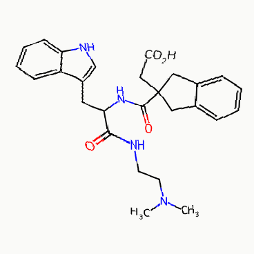 CN(C)CCNC(=O)C(Cc1c[nH]c2ccccc12)NC(=O)C1(CC(=O)O)Cc2ccccc2C1